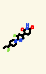 CCC(F)=C1CCN(c2ncc(C3CCC(=O)NC3=O)cc2F)CC1